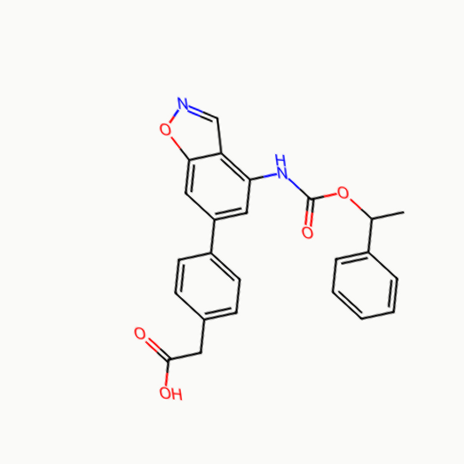 CC(OC(=O)Nc1cc(-c2ccc(CC(=O)O)cc2)cc2oncc12)c1ccccc1